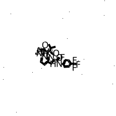 CN[C@@H](C)C(=O)N[C@H](C(=O)N1c2ncccc2C[C@H]1C(=O)Nc1ccc(C(F)(F)F)cc1F)C(C)C